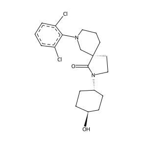 O=C1N([C@H]2CC[C@H](O)CC2)CC[C@]12CCCN(c1c(Cl)cccc1Cl)C2